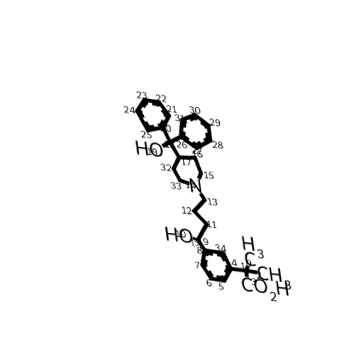 CC(C)(C(=O)O)c1cccc([C@@H](O)CCCN2CCC(C(O)(c3ccccc3)c3ccccc3)CC2)c1